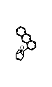 O=C1C2C=CC1C(c1cccc3cc4ccccc4cc13)C2